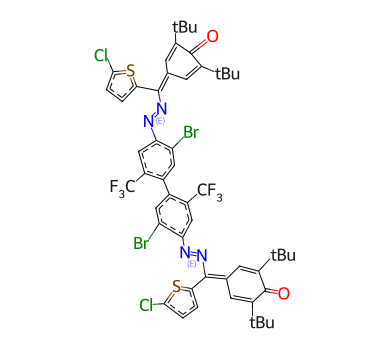 CC(C)(C)C1=CC(=C(/N=N/c2cc(C(F)(F)F)c(-c3cc(Br)c(/N=N/C(=C4C=C(C(C)(C)C)C(=O)C(C(C)(C)C)=C4)c4ccc(Cl)s4)cc3C(F)(F)F)cc2Br)c2ccc(Cl)s2)C=C(C(C)(C)C)C1=O